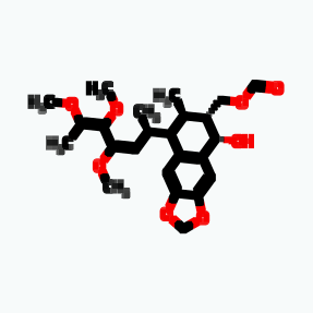 CO/C(C)=C(OC)/C(=C\[C@@H](C)C1c2cc3c(cc2[C@@H](O)[C@@H](COC=O)[C@@H]1C)OCO3)OC